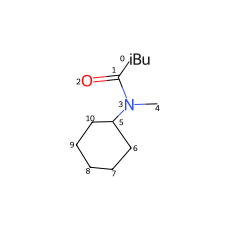 CCC(C)C(=O)N(C)C1CCCCC1